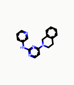 c1cncc(Nc2nccc(N3CCc4ccccc4C3)n2)c1